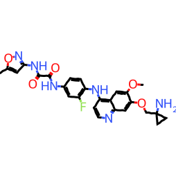 COc1cc2c(Nc3ccc(NC(=O)C(=O)Nc4cc(C)on4)cc3F)ccnc2cc1OCC1(N)CC1